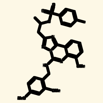 COc1ccc(CNc2nc3c(OC)cccc3c3nc(CC(C)OS(=O)(=O)c4ccc(C)cc4)nn23)c(OC)c1